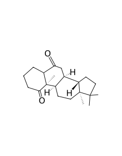 CC1(C)CC[C@H]2[C@@H]3CC(=O)C4CCCC(=O)[C@]4(C)[C@@H]3CC[C@@]21C